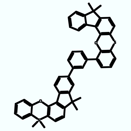 CC1(C)c2ccccc2-c2c1ccc1c2Oc2c(cccc2-c2cccc(-c3ccc4c(c3)C(C)(C)c3ccc5c(c3-4)Oc3ccccc3[Si]5(C)C)c2)S1